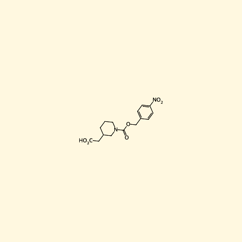 O=C(O)CC1CCCN(C(=O)OCc2ccc([N+](=O)[O-])cc2)C1